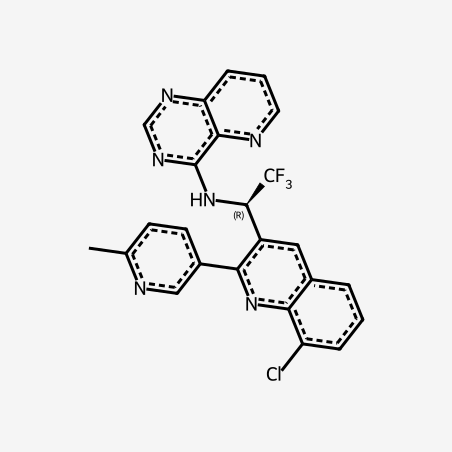 Cc1ccc(-c2nc3c(Cl)cccc3cc2[C@@H](Nc2ncnc3cccnc23)C(F)(F)F)cn1